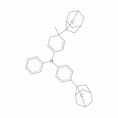 CC1(C23CC4CC(CC2C4)C3)C=CC(N(c2ccccc2)c2ccc(C34CC5CC(CC3C5)C4)cc2)=CC1